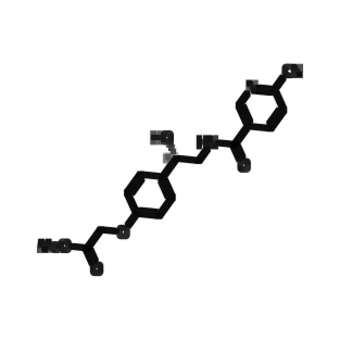 COC(=O)COc1ccc([C@H](O)CNC(=O)c2ccc(C#N)nc2)cc1